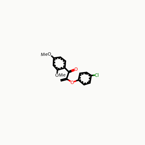 C=C(Oc1ccc(Cl)cc1)C(=O)c1ccc(OC)cc1OC